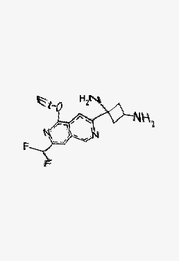 CCOc1nc(C(F)F)cc2cnc(C3(N)CC(N)C3)cc12